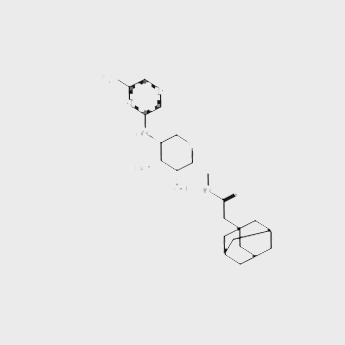 O=C(CC12CC3CC(CC(C3)C1)C2)NC[C@H]1OC[C@H](Nc2cncc(C(F)(F)F)n2)[C@@H](O)[C@H]1O